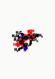 CCCCOC1[C@@H](OC(COS(=O)(=O)O)OC(C(=O)OC)[C@H](O[C@@H]2OC(C)[C@H](OC(COS(=O)(=O)O)OC(C(=O)OC)[C@@H](OCCCC)[C@H](C)OCCCC)C(OCCCC)[C@@H]2N=[N+]=[N-])[C@H](C)OCCCC)C(C)OC[C@H]1N=[N+]=[N-]